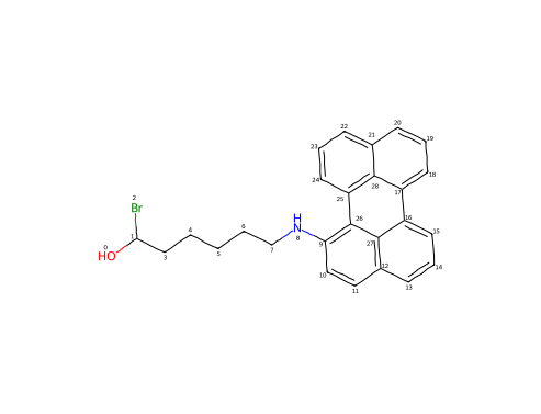 OC(Br)CCCCCNc1ccc2cccc3c4cccc5cccc(c1c23)c54